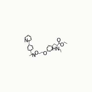 CCNC(Cc1ccc(OCCON=C(C)c2ccc(-c3ccccn3)cc2)cc1)C(=O)OCC